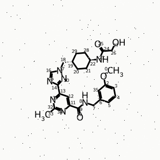 COc1cccc(CNC(=O)c2cc(-c3ncn(C[C@H]4CC[C@H](NC(=O)CO)CC4)n3)nc(C)n2)c1